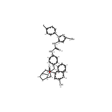 Cc1ccc(-n2nc(C(C)(C)C)cc2NC(=O)Nc2ccc(CC3CC4CCC(C3)N4C(=O)c3cc(O)nc4ccccc34)cc2)cc1